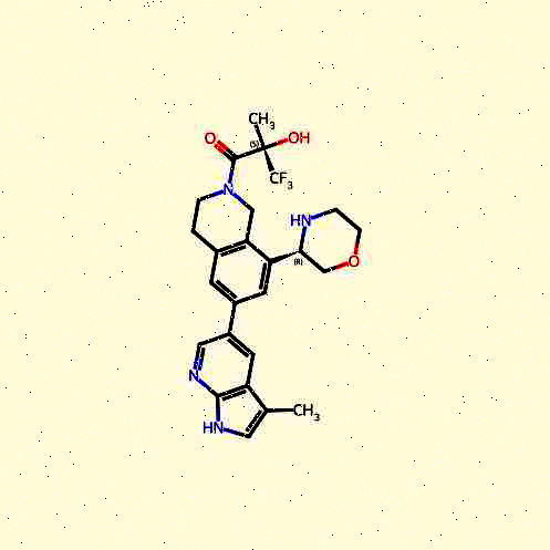 Cc1c[nH]c2ncc(-c3cc4c(c([C@@H]5COCCN5)c3)CN(C(=O)[C@](C)(O)C(F)(F)F)CC4)cc12